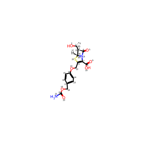 C[C@@H](O)[C@H]1C(=O)N2C(C(=O)O)=C(COc3ccc(COC(N)=O)cc3)S[C@H]12